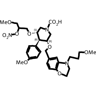 COCCCN1CCOc2ccc(CO[C@H]3CN(C(=O)O)C[C@@H](OCC(COC)O[N+](=O)[O-])[C@@H]3c3ccc(OC)cc3)cc21